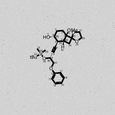 CO[C@]12CC[C@@H](O)[C@H](C#C[C@H](COc3ccccc3)O[Si](C)(C)C(C)(C)C)[C@H]1CC21OCCO1